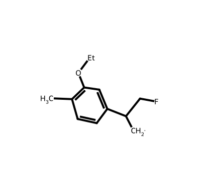 [CH2]C(CF)c1ccc(C)c(OCC)c1